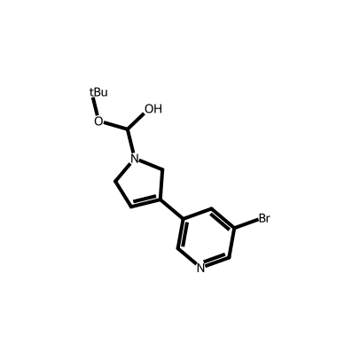 CC(C)(C)OC(O)N1CC=C(c2cncc(Br)c2)C1